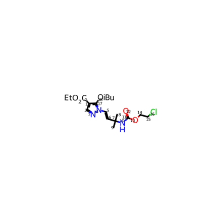 CCOC(=O)c1cnn(/C=C/C(C)(C)NC(=O)OCCCl)c1OCC(C)C